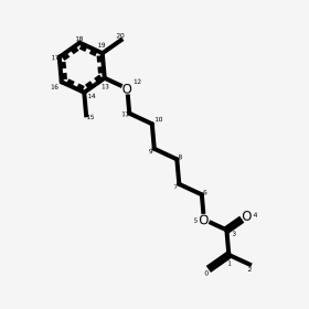 C=C(C)C(=O)OCCCCCCOc1c(C)cccc1C